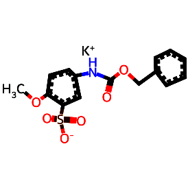 COc1ccc(NC(=O)OCc2ccccc2)cc1S(=O)(=O)[O-].[K+]